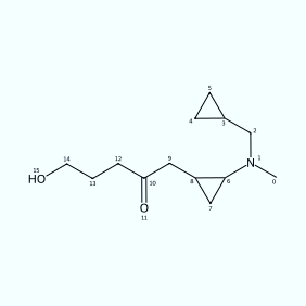 CN(CC1CC1)C1CC1CC(=O)CCCO